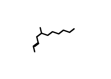 CC=CCC(C)CCCCCC